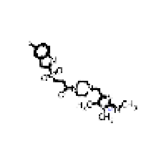 C/N=c1\sc(CN2CCN(C(=O)CCS(=O)(=O)C3=Nc4ccc(I)cc4C3)CC2)c(C)n1C